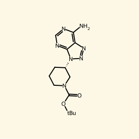 CC(C)(C)OC(=O)N1CCC[C@H](n2nnc3c(N)ncnc32)C1